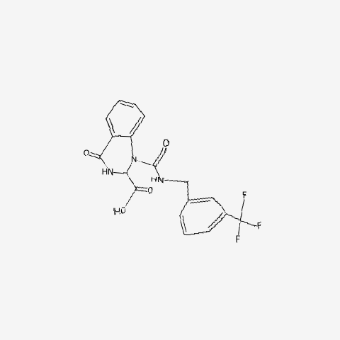 O=C1NC(C(=O)O)N(C(=O)NCc2cccc(C(F)(F)F)c2)c2ccccc21